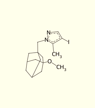 COC12CC3CC(CC(Cn4ncc(I)c4C)(C3)C1)C2